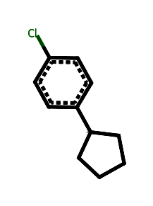 Clc1ccc([C]2CCCC2)cc1